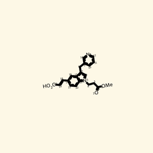 COC(=O)CCn1cc(Cc2cccnc2)c2cc(/C=C/C(=O)O)ccc21